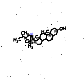 CC(C)[C@@H](C)/C=C\[C@@H](C)[C@H]1CCC2C3CC=C4C[C@@H](O)CC[C@]4(C)C3CC[C@@]21C